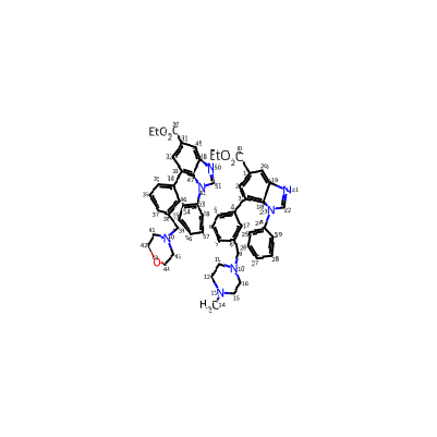 CCOC(=O)c1cc(-c2cccc(CN3CCN(C)CC3)c2)c2c(c1)ncn2-c1ccccc1.CCOC(=O)c1cc(-c2cccc(CN3CCOCC3)c2)c2c(c1)ncn2-c1ccccc1